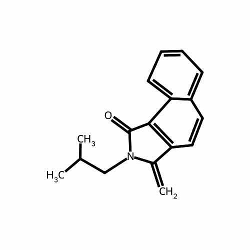 C=C1c2ccc3ccccc3c2C(=O)N1CC(C)C